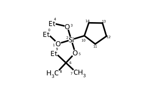 CCO[Si](OCC)(OC(C)(C)CC)C1CCCC1